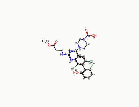 COC(=O)CCNc1nc(N2CCN(C(=O)O)CC2)c2cc(Cl)c(-c3c(O)cccc3F)c(F)c2n1